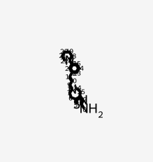 Nc1nc2c(s1)CCN(C/C=C/c1cccc(N3CCCCC3)c1)CC2